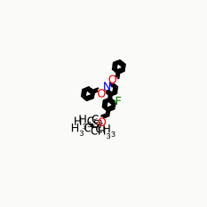 CC(C)(C)[Si](C)(C)OCCc1ccc(-c2ccc(OCc3ccccc3)nc2OCc2ccccc2)c(F)c1